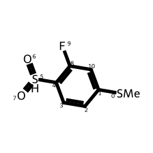 CSc1ccc([SH](=O)=O)c(F)c1